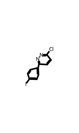 Clc1ccc(-c2ccc(I)cc2)nn1